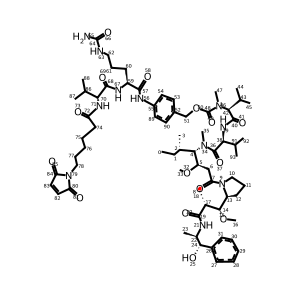 CC[C@H](C)[C@@H]([C@@H](CC(=O)N1CCC[C@H]1[C@H](OC)[C@@H](C)C(=O)N[C@H](C)[C@@H](O)c1ccccc1)OC)N(C)C(=O)[C@@H](NC(=O)[C@H](C(C)C)N(C)C(=O)OCc1ccc(NC(=O)[C@H](CCCNC(N)=O)NC(=O)[C@H](NC(=O)CCCCCN2C(=O)C=CC2=O)C(C)C)cc1)C(C)C